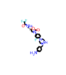 Nc1ccc(CN2CCN(c3ccc(N4C[C@H](CNC(=O)C(F)F)OC4=O)cc3F)CCN2)cc1